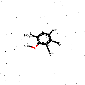 CCCCOc1c(C(=O)O)cc(CCC)c(CC)c1CCC